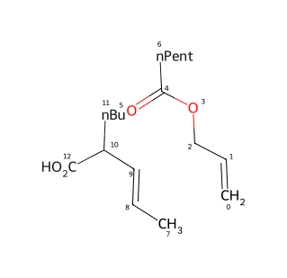 C=CCOC(=O)CCCCC.CC=CC(CCCC)C(=O)O